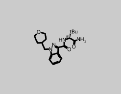 CC(C)(C)[C@H](NC(=O)c1nn(CC2CCOCC2)c2ccccc12)C(N)=O